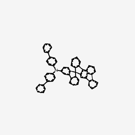 c1ccc(-c2ccc(N(c3ccc(-c4ccccc4)cc3)c3ccc4c(c3)-c3ccccc3C43c4ccccc4-c4c3cc3c5c(cccc45)-c4ccccc4-3)cc2)cc1